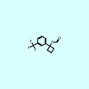 O=COC1(c2cccc(C(F)(F)F)c2)CCC1